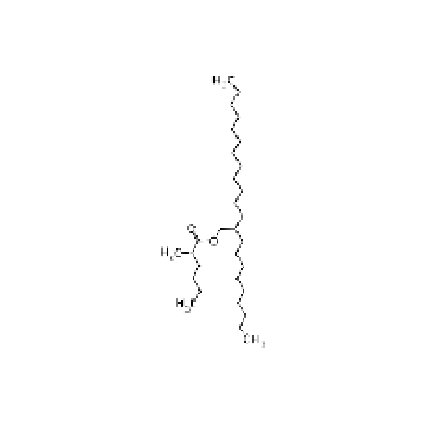 CCCCCCCCCCCCC(CCCCCCCCC)COC(=O)C(C)CCCC